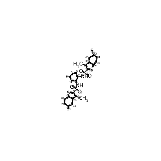 Cc1c(S(=O)(=O)Nc2ccccc2NS(=O)(=O)c2sc3ccc(F)cc3c2C)sc2ccc(F)cc12